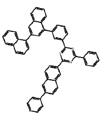 c1ccc(-c2ccc3cc(-c4nc(-c5ccccc5)nc(-c5cccc(-c6cc(-c7cccc8ccccc78)cc7ccccc67)c5)n4)ccc3c2)cc1